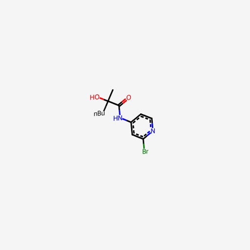 CCCCC(C)(O)C(=O)Nc1ccnc(Br)c1